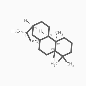 C[C@H]1C[C@@]23CC[C@H]4C(C)(C)CCC[C@]4(C)[C@@H]2CC[C@H]1C3